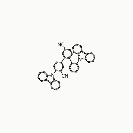 N#Cc1ccc(-c2ccccc2-n2c3ccccc3c3ccccc32)c(-c2ccc(-n3c4ccccc4c4ccccc43)c(C#N)c2)c1